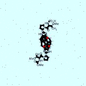 COC(=O)N[C@H](C(=O)N1CCC[C@H]1c1nc2cc(-c3cc4ccc3CCc3ccc(c(-c5ccc6[nH]c([C@@H]7CCCN7C(=O)[C@@H](NC(=O)O)[C@@H](C)OC)nc6c5)c3)CC4)ccc2[nH]1)[C@@H](C)OC